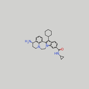 N[C@@H]1CCN2CCn3c(c(C4CCCCC4)c4ccc(C(=O)NC5CC5)cc43)-c3cccc1c32